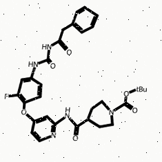 CC(C)(C)OC(=O)N1CCC(C(=O)Nc2cc(Oc3ccc(NC(=O)NC(=O)Cc4ccccc4)cc3F)ccn2)CC1